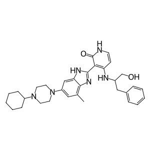 Cc1cc(N2CCN(C3CCCCC3)CC2)cc2[nH]c(-c3c(NC(CO)Cc4ccccc4)cc[nH]c3=O)nc12